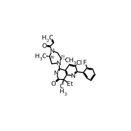 C=CC(=O)N1C[C@H](C)N(C2=NC(=O)C(C)(CC)c3nc(-c4ccccc4F)c(Cl)cc32)C[C@H]1C